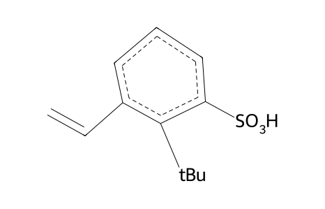 C=Cc1cccc(S(=O)(=O)O)c1C(C)(C)C